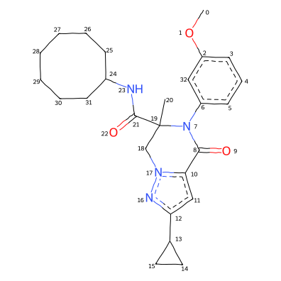 COc1cccc(N2C(=O)c3cc(C4CC4)nn3CC2(C)C(=O)NC2CCCCCCC2)c1